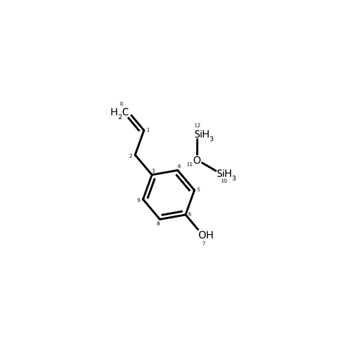 C=CCc1ccc(O)cc1.[SiH3]O[SiH3]